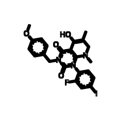 COc1ccc(Cn2c(=O)c3c(n(-c4ccc(I)cc4F)c2=O)N(C)CC(C)=C3O)cc1